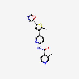 Cc1cnccc1C(=O)Nc1ccc(-c2cc(-c3cnco3)sc2C)cn1